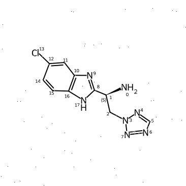 N[C@@H](Cn1ncnn1)c1nc2cc(Cl)ccc2[nH]1